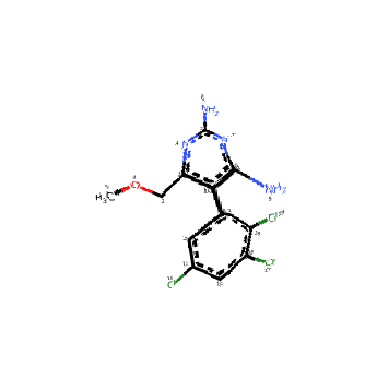 COCc1nc(N)nc(N)c1-c1cc(Cl)cc(Cl)c1Cl